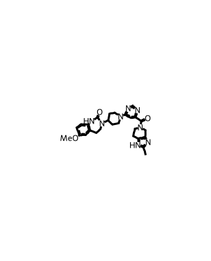 COc1ccc2c(c1)CCN(C1CCN(c3cc(C(=O)N4CCc5[nH]c(C)nc5C4)ncn3)CC1)C(=O)N2